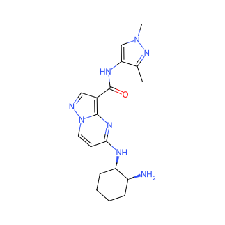 Cc1nn(C)cc1NC(=O)c1cnn2ccc(N[C@@H]3CCCC[C@@H]3N)nc12